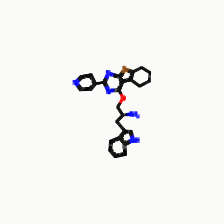 N[C@H](COc1nc(-c2ccncc2)nc2sc3c(c12)CCCC3)Cc1c[nH]c2ccccc12